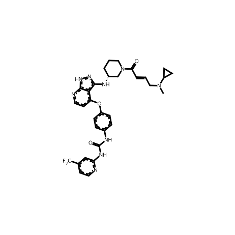 CN(C/C=C/C(=O)N1CCC[C@@H](Nc2n[nH]c3nccc(Oc4ccc(NC(=O)Nc5cc(C(F)(F)F)ccn5)cc4)c23)C1)C1CC1